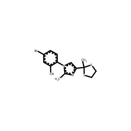 Cc1nc(C2(C)SCCS2)cn1-c1ccc(Br)cc1C#N